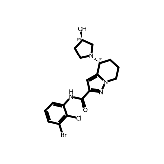 O=C(Nc1cccc(Br)c1Cl)c1cc2n(n1)CCC[C@H]2N1CC[C@@H](O)C1